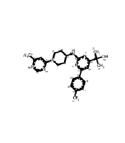 Cc1cc(N2CCC(Nc3nc(-c4ccc(C(F)(F)F)cc4)cc(C(C)(C)O)n3)CC2)ncn1